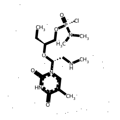 CC[C@@H](CO[P@](=O)(Cl)N(C)C)O[C@H](CNC)n1cc(C)c(=O)[nH]c1=O